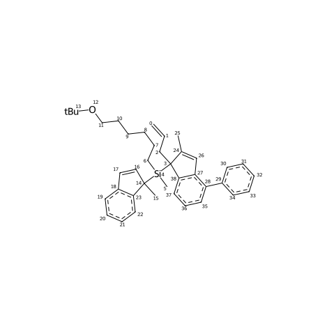 C=CCC1([Si](C)(CCCCCCOC(C)(C)C)C2(C)C=Cc3ccccc32)C(C)=Cc2c(-c3ccccc3)cccc21